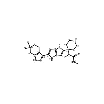 CNC(=O)C(C)[N+]1(c2cc3[nH]c(-c4n[nH]c5c4CCC(C)(C)C5)cc3s2)CCOCC1